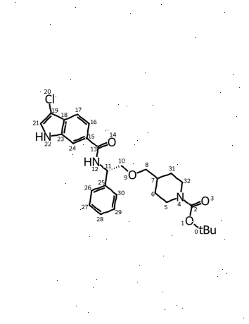 CC(C)(C)OC(=O)N1CCC(COC[C@@H](NC(=O)c2ccc3c(Cl)c[nH]c3c2)c2ccccc2)CC1